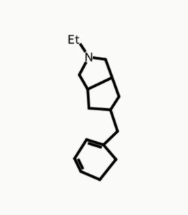 CCN1CC2CC(CC3=CC=CCC3)CC2C1